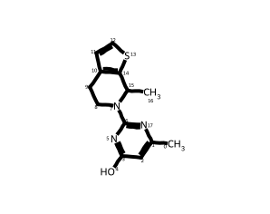 Cc1cc(O)nc(N2CCc3ccsc3C2C)n1